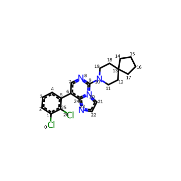 Clc1cccc(-c2cnc(N3CCC4(CCCC4)CC3)n3ccnc23)c1Cl